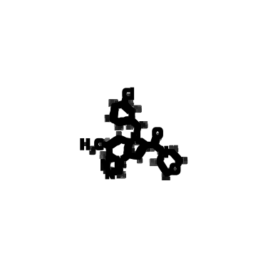 Cc1cc2c(cc(C(=O)N3CCOCC3)n2Cc2cccc(Cl)c2)n2cnnc12